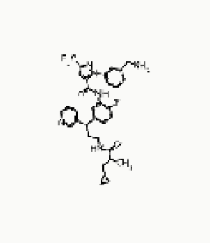 CC(CC1CC1)C(=O)NCCC(c1cccnc1)c1ccc(F)c(NC(=O)c2cc(C(F)(F)F)nn2-c2cccc(CN)c2)c1